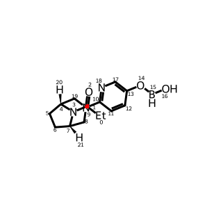 CCC(=O)N1[C@@H]2CC[C@H]1CN(c1ccc(OBO)cn1)C2